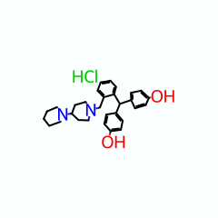 Cl.Oc1ccc(C(c2ccc(O)cc2)c2ccccc2CN2CCC(N3CCCCC3)CC2)cc1